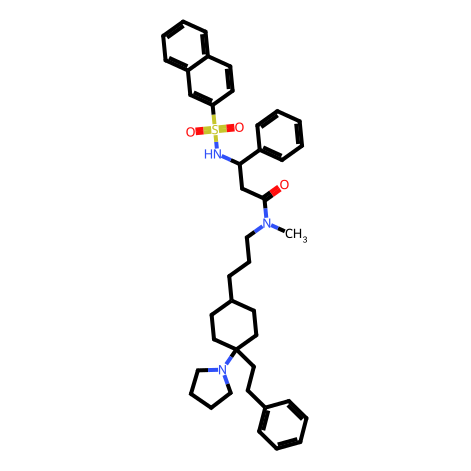 CN(CCCC1CCC(CCc2ccccc2)(N2CCCC2)CC1)C(=O)CC(NS(=O)(=O)c1ccc2ccccc2c1)c1ccccc1